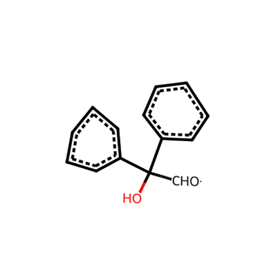 O=[C]C(O)(c1ccccc1)c1ccccc1